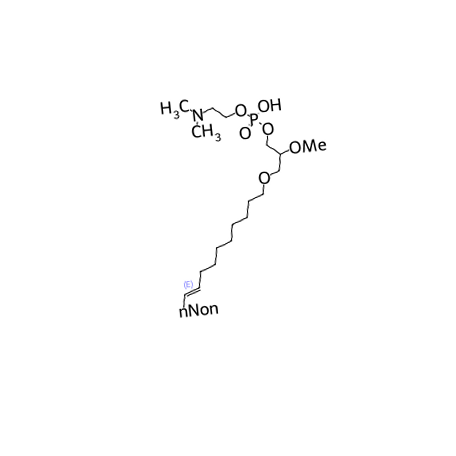 CCCCCCCCC/C=C/CCCCCCCCOCC(COP(=O)(O)OCCN(C)C)OC